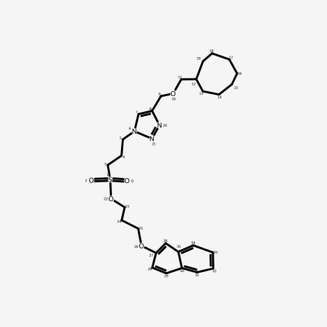 O=S(=O)(CCCn1cc(COCC2CCCCCCC2)nn1)OCCCOc1ccc2ccccc2c1